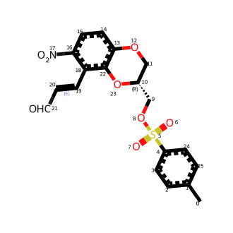 Cc1ccc(S(=O)(=O)OC[C@H]2COc3ccc([N+](=O)[O-])c(/C=C/C=O)c3O2)cc1